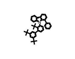 CC(C)(C)c1cc(-c2cccc(-n3c4ccccc4c4cccc(-c5ccccc5)c43)c2C(C)(C)C)cc(C(C)(C)C)c1